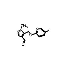 Cn1ncc(C=O)c1COc1ccc(F)cn1